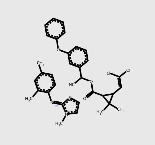 CC1(C)C(C=C(Cl)Cl)C1C(=O)OC(C#N)c1cccc(Oc2ccccc2)c1.Cc1ccc(/N=c2\sccn2C)c(C)c1